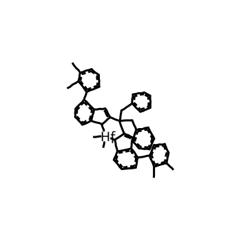 Cc1cccc(-c2cccc3c2C=C2[CH]3[Hf]([CH3])([CH3])[CH]3C(=Cc4c(-c5cccc(C)c5C)cccc43)C2(Cc2ccccc2)Cc2ccccc2)c1C